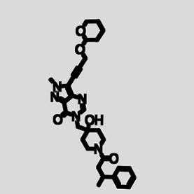 CC(CC(=O)N1CCC(O)(Cn2cnc3c(C#CCOC4CCCCO4)n(C)nc3c2=O)CC1)c1ccccc1